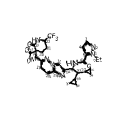 CCn1nccc1C(=O)N[C@H](c1cn2nc(CC3(C(=O)OC)CCC(C(F)(F)F)NC3=O)ccc2n1)C(C1CC1)C1CC1